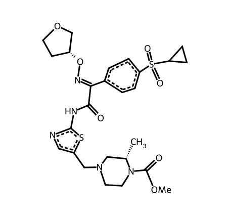 COC(=O)N1CCN(Cc2cnc(NC(=O)/C(=N/O[C@@H]3CCOC3)c3ccc(S(=O)(=O)C4CC4)cc3)s2)C[C@@H]1C